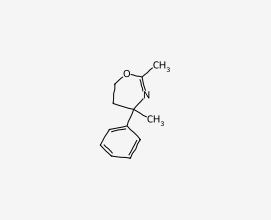 CC1=NC(C)(c2ccccc2)CCO1